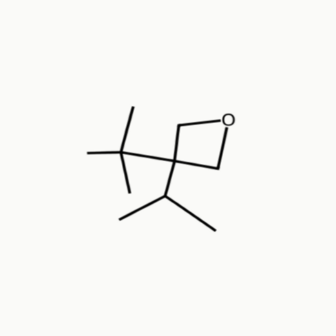 CC(C)C1(C(C)(C)C)COC1